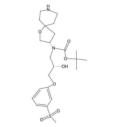 CC(C)(C)OC(=O)N(C[C@H](O)COc1cccc(S(C)(=O)=O)c1)[C@@H]1COC2(CCNCC2)C1